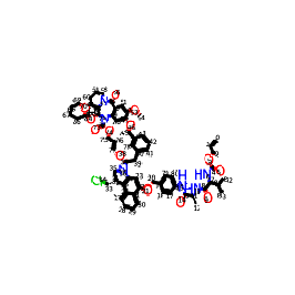 C=CCOC(=O)NC(C(=O)N[C@@H](C)C(=O)Nc1ccc(COc2cc3c(c4ccccc24)[C@H](CCl)CN3C(=O)Cc2cccc(COc3cc4c(cc3OC)C(=O)N3CCCC[C@H]3C(OC3CCCCO3)N4C(=O)OCC=C)c2)cc1)C(C)C